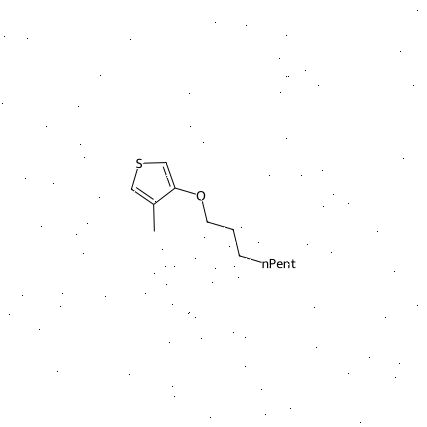 CCCCCCCCOc1cscc1C